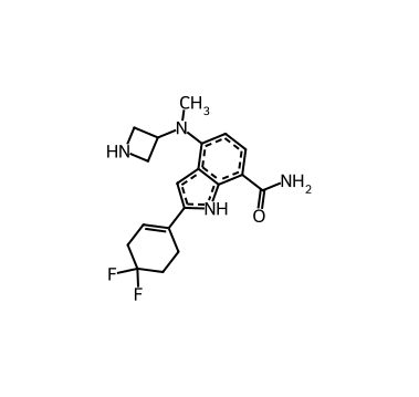 CN(c1ccc(C(N)=O)c2[nH]c(C3=CCC(F)(F)CC3)cc12)C1CNC1